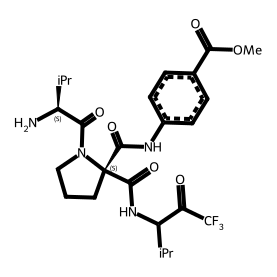 COC(=O)c1ccc(NC(=O)[C@@]2(C(=O)NC(C(=O)C(F)(F)F)C(C)C)CCCN2C(=O)[C@@H](N)C(C)C)cc1